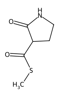 CSC(=O)C1CCNC1=O